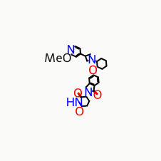 COc1cc(C2CN(C3CCCCC3Oc3ccc4c(c3)CN(C3CCC(=O)NC3=O)C4=O)C2)ccn1